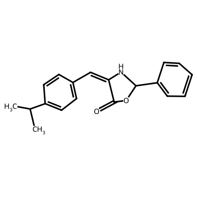 CC(C)c1ccc(/C=C2/NC(c3ccccc3)OC2=O)cc1